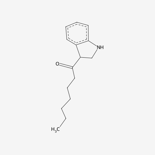 CCCCCCC(=O)C1CNc2ccccc21